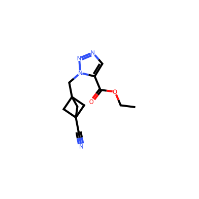 CCOC(=O)c1cnnn1CC12CC(C#N)(C1)C2